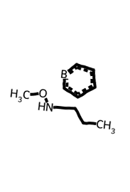 CCCNOC.b1ccccc1